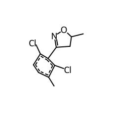 Cc1ccc(Cl)c(C2=NOC(C)C2)c1Cl